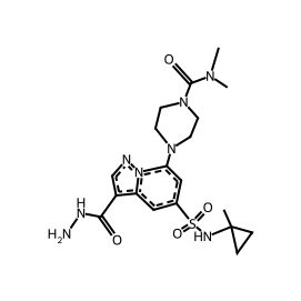 CN(C)C(=O)N1CCN(c2cc(S(=O)(=O)NC3(C)CC3)cc3c(C(=O)NN)cnn23)CC1